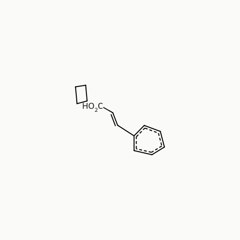 C1CCC1.O=C(O)C=Cc1ccccc1